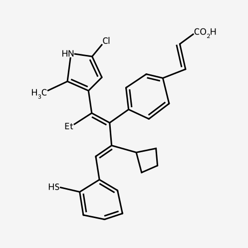 CC/C(=C(\C(=C\c1ccccc1S)C1CCC1)c1ccc(/C=C/C(=O)O)cc1)c1cc(Cl)[nH]c1C